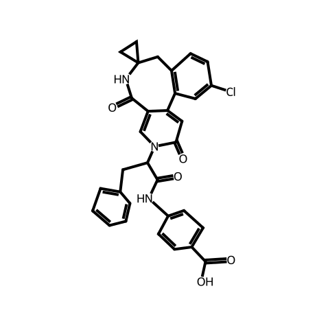 O=C(O)c1ccc(NC(=O)C(Cc2ccccc2)n2cc3c(cc2=O)-c2cc(Cl)ccc2CC2(CC2)NC3=O)cc1